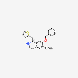 COc1cc2c(cc1OCc1ccccc1)[C@H](Cc1cccs1)NCC2